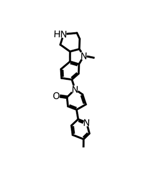 Cc1ccc(-c2ccn(-c3ccc4c(c3)N(C)C3CCNCC43)c(=O)c2)nc1